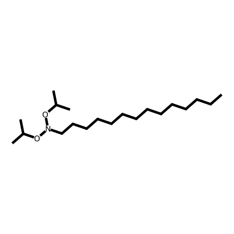 CCCCCCCCCCCCCCN(OC(C)C)OC(C)C